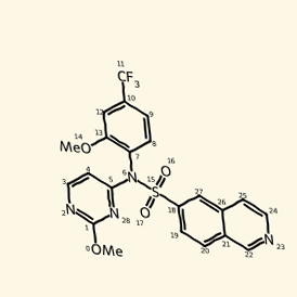 COc1nccc(N(c2ccc(C(F)(F)F)cc2OC)S(=O)(=O)c2ccc3cnccc3c2)n1